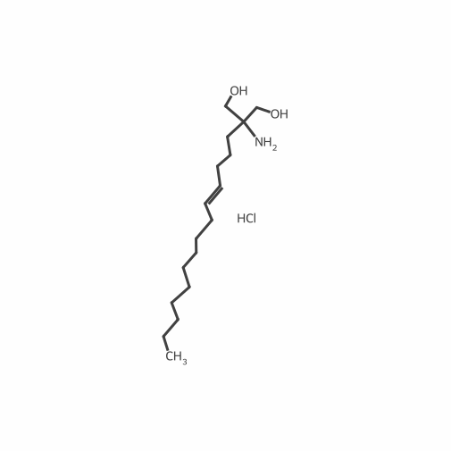 CCCCCCCCCC=CCCCC(N)(CO)CO.Cl